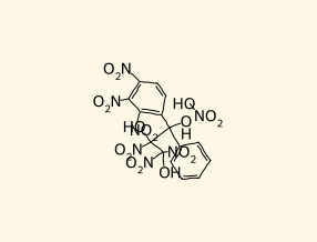 O=[N+]([O-])O.O=[N+]([O-])c1ccc(C(O)(c2ccccc2)C(O)([N+](=O)[O-])C(O)([N+](=O)[O-])[N+](=O)[O-])c([N+](=O)[O-])c1[N+](=O)[O-]